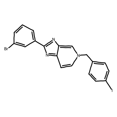 Brc1cccc(-c2nc3ccn(Cc4ccc(I)cc4)cc-3n2)c1